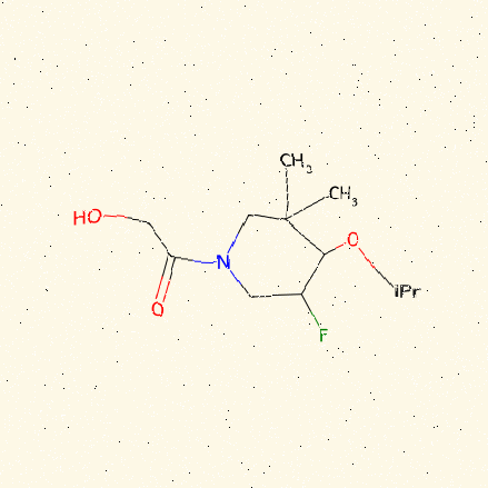 CC(C)OC1C(F)CN(C(=O)CO)CC1(C)C